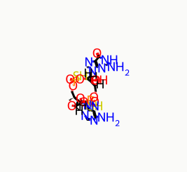 Nc1nc2c(ncn2[C@@H]2O[C@@H]3COP(=O)(S)O[C@H]4[C@H]5OC[C@]4(COP(=O)(S)O[C@@H]2[C@@H]3O)O[C@H]5n2cnc3c(N)ncnc32)c(=O)[nH]1